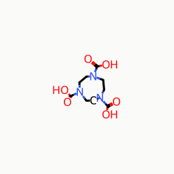 O=C(O)N1CCN(C(=O)O)CCN(C(=O)O)CC1